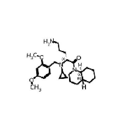 COc1ccc(CN(C2CC2)[C@H](CCCN)C(=O)N2CCC[C@H]3CCCC[C@@H]32)c(OC)c1